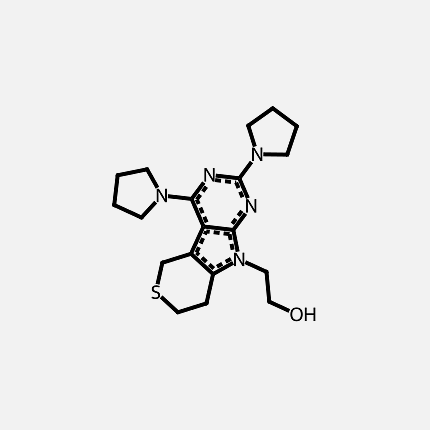 OCCn1c2c(c3c(N4CCCC4)nc(N4CCCC4)nc31)CSCC2